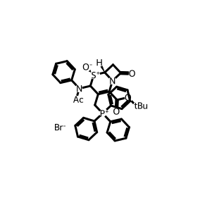 CC(=O)N(c1ccccc1)C1C(C[P+](c2ccccc2)(c2ccccc2)c2ccccc2)=C(C(=O)OC(C)(C)C)N2C(=O)C[C@H]2[S@+]1[O-].[Br-]